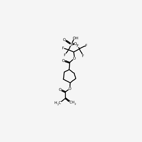 C=C(C)C(=O)OC1CCC(C(=O)OC(C(F)(F)F)C(F)(F)S(=O)(=O)O)CC1